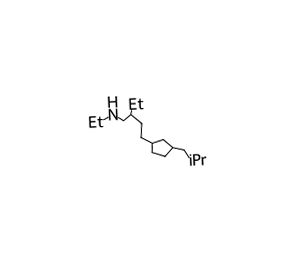 CCNCC(CC)CCC1CCC(CC(C)C)C1